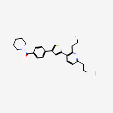 CCCc1ccc(-c2cc(-c3ccc(C(=O)N4CCCCC4)cc3)cs2)c(CCC)n1